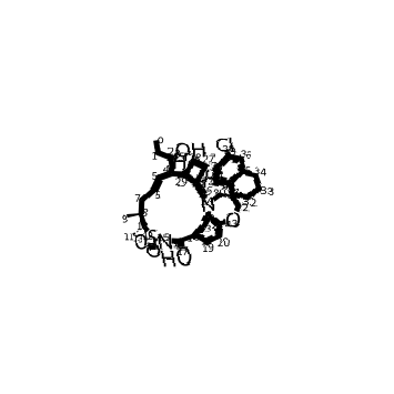 CC[C@H](O)C1/C=C/C[C@H](C)[C@@H](C)S(=O)(=O)NC(=O)c2ccc3c(c2)N(C[C@@H]2CC[C@@H]12)C[C@@]1(CCCc2cc(Cl)ccc21)CO3